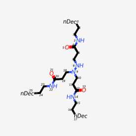 CCCCCCCCCCCCNC(=O)CCNN(CCC(=O)NCCCCCCCCCCCC)CCC(=O)NCCCCCCCCCCCC